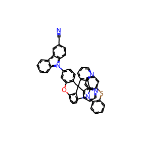 N#Cc1ccc2c(c1)c1ccccc1n2-c1ccc2c(c1)Oc1cccc(N3c4ccccc4Sc4ccccc43)c1C21c2cccnc2-c2ncccc21